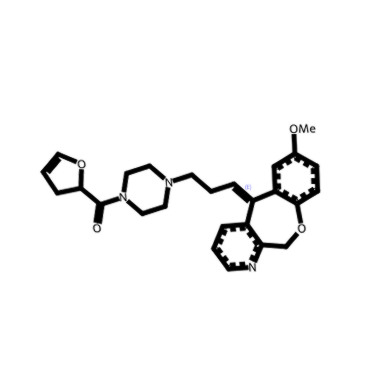 COc1ccc2c(c1)/C(=C/CCN1CCN(C(=O)C3CC=CO3)CC1)c1cccnc1CO2